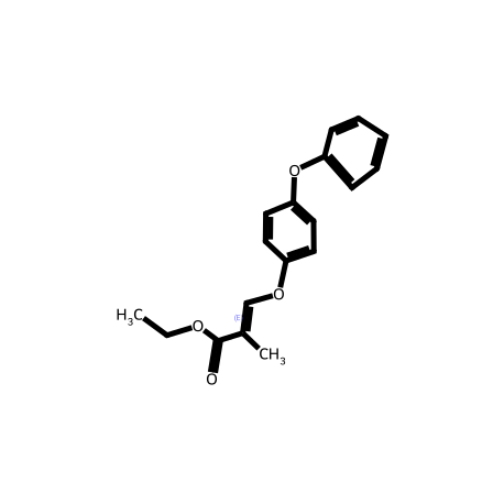 CCOC(=O)/C(C)=C/Oc1ccc(Oc2ccccc2)cc1